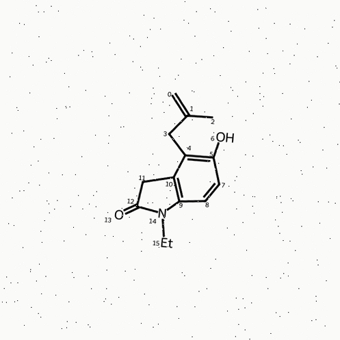 C=C(C)Cc1c(O)ccc2c1CC(=O)N2CC